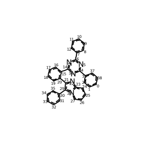 c1ccc(-c2nc(-c3ccccc3)nc(-c3ccccc3-c3nc4ccccn4c3-c3ccccc3)n2)cc1